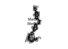 CCCC(=O)N(C=O)C(C)(C)CC(C)(C)C(=O)NC(C(=O)NC(C)C(=O)Nc1ccc(C2=CN3C(=O)c4cc(OC)c(OCC(C)(C)CC(C)(C)COc5cc6c(cc5OC)C(=O)N5C=C(c7ccc(O)cc7)C[C@H]5C=N6)cc4N=CC3C2)cc1)C(C)C